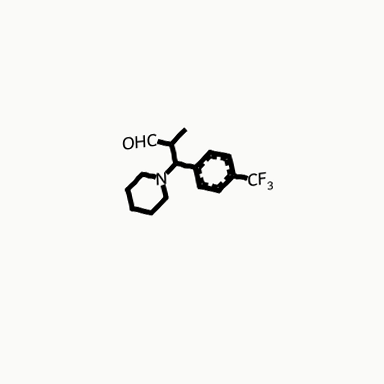 CC(C=O)C(c1ccc(C(F)(F)F)cc1)N1CCCCC1